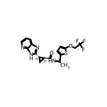 CC(NC(=O)[C@H]1C[C@@H]1c1nc2cccnc2[nH]1)c1ccc(OCC(F)(F)F)s1